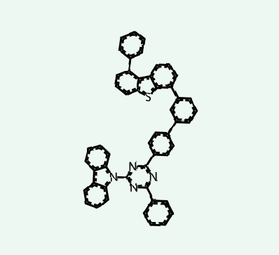 c1ccc(-c2nc(-c3ccc(-c4cccc(-c5cccc6c5sc5cccc(-c7ccccc7)c56)c4)cc3)nc(-n3c4ccccc4c4ccccc43)n2)cc1